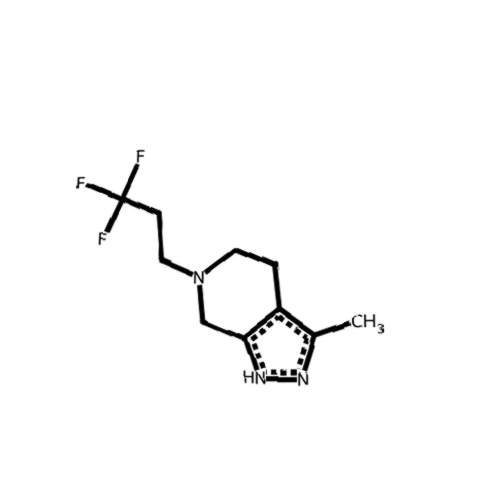 Cc1n[nH]c2c1CCN(CCC(F)(F)F)C2